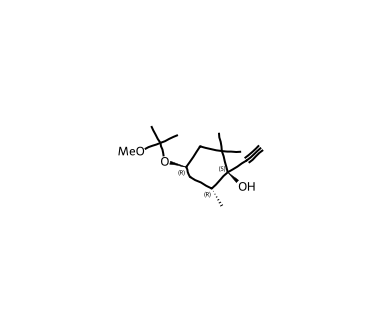 C#C[C@]1(O)[C@H](C)C[C@@H](OC(C)(C)OC)CC1(C)C